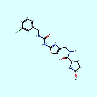 CN(Cc1csc(NC(=O)NCc2cccc(F)c2)n1)C(=O)C1CCC(=O)N1